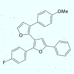 COc1ccc(-c2ccoc2-c2cc(-c3ccccc3)oc2-c2ccc(F)cc2)cc1